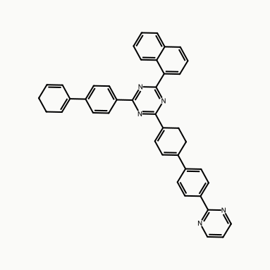 C1=CC(c2ccc(-c3nc(C4=CC=C(c5ccc(-c6ncccn6)cc5)CC4)nc(-c4cccc5ccccc45)n3)cc2)=CCC1